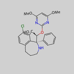 COc1cc(OC)nc(O[C@H](C(=O)O)[C@@]2(c3ccccc3)NCCCc3ccc(Cl)cc32)n1